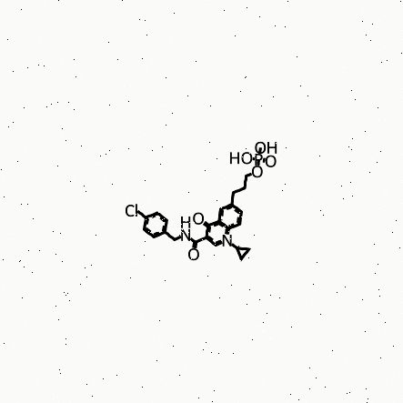 O=C(NCc1ccc(Cl)cc1)c1cn(C2CC2)c2ccc(CCCOP(=O)(O)O)cc2c1=O